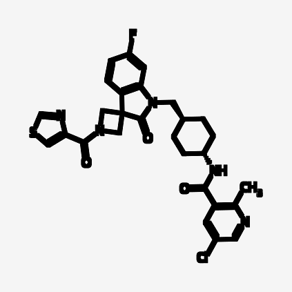 Cc1ncc(Cl)cc1C(=O)N[C@H]1CC[C@H](CN2C(=O)C3(CN(C(=O)c4cscn4)C3)c3ccc(F)cc32)CC1